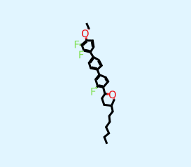 CCCCCCCC1CCC(c2ccc(-c3ccc(-c4ccc(OCC)c(F)c4F)cc3)cc2F)OC1